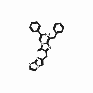 O=c1c(Cc2cn3ccsc3n2)nc2c(Cc3ccccc3)[nH]c(-c3ccccc3)cn1-2